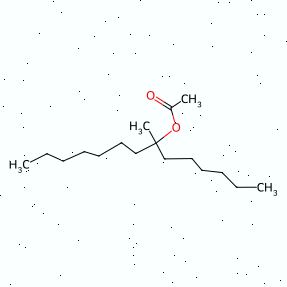 CCCCCCCC(C)(CCCCCC)OC(C)=O